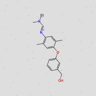 CCN(C)/C=N/c1cc(C)c(Oc2cccc(CO)c2)cc1C